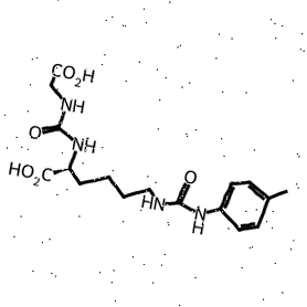 Cc1ccc(NC(=O)NCCCC[C@H](NC(=O)NCC(=O)O)C(=O)O)cc1